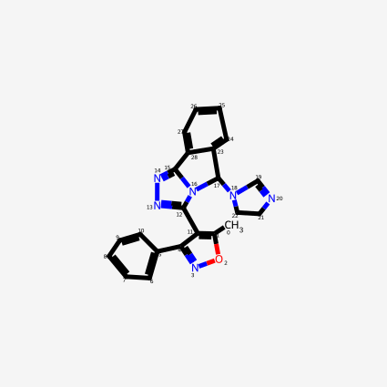 Cc1onc(-c2ccccc2)c1-c1nnc2n1C(N1C=NCC1)c1ccccc1-2